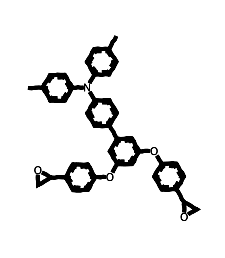 Cc1ccc(N(c2ccc(C)cc2)c2ccc(-c3cc(Oc4ccc(C5CO5)cc4)cc(Oc4ccc(C5CO5)cc4)c3)cc2)cc1